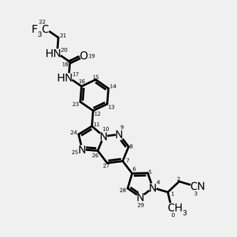 CC(CC#N)n1cc(-c2cnn3c(-c4cccc(NC(=O)NCC(F)(F)F)c4)cnc3c2)cn1